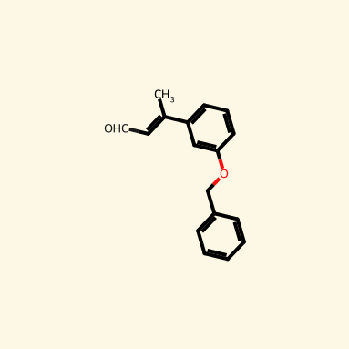 CC(=CC=O)c1cccc(OCc2ccccc2)c1